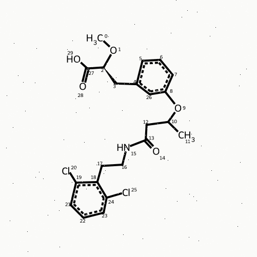 CO[C@@H](Cc1cccc(OC(C)CC(=O)NCCc2c(Cl)cccc2Cl)c1)C(=O)O